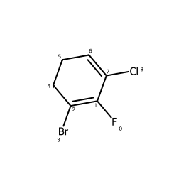 FC1=C(Br)[CH]CC=C1Cl